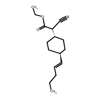 CCC/C=C/[C@H]1CC[C@H](C(C#N)C(=O)OCC)CC1